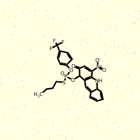 CCCCSP(=O)(Oc1ccc(C(F)(F)F)cc1)OC1C(=O)C=C([N+](=O)[O-])C2=C1C=C1C=CC=CC1N2